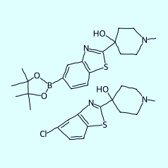 CN1CCC(O)(c2nc3cc(B4OC(C)(C)C(C)(C)O4)ccc3s2)CC1.CN1CCC(O)(c2nc3cc(Cl)ccc3s2)CC1